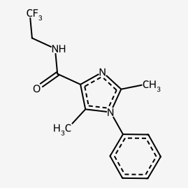 Cc1nc(C(=O)NCC(F)(F)F)c(C)n1-c1ccccc1